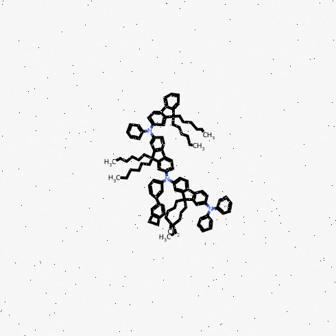 CCCCCCC1(CCCCCC)c2ccccc2-c2ccc(N(c3ccccc3)c3ccc4c(c3)C(CCCCCC)(CCCCCC)c3cc(N(c5cccc(-c6ccc7c(c6)CC7)c5)c5ccc6c(c5)C(CCCCCC)(CCCCCC)c5cc(N(c7ccccc7)c7ccccc7)ccc5-6)ccc3-4)cc21